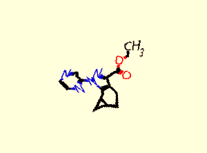 CCOC(=O)c1nn(-c2cnccn2)c2c1CCC1CC21